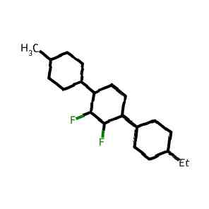 CCC1CCC(C2CCC(C3CCC(C)CC3)C(F)C2F)CC1